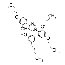 CCCCOc1ccc(C2=NC(c3ccc(OCCCC)cc3O)N(c3ccc(OCCCC)cc3OCCCC)C=N2)c(O)c1